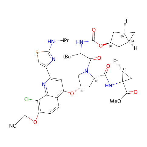 CC[C@@H]1CC1(NC(=O)[C@@H]1C[C@H](Oc2cc(-c3csc(NC(C)C)n3)nc3c(Cl)c(OCC#N)ccc23)CN1C(=O)C(NC(=O)O[C@@H]1C[C@@H]2C[C@@H]2C1)C(C)(C)C)C(=O)OC